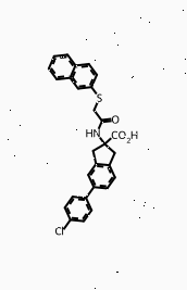 O=C(CSc1ccc2ccccc2c1)NC1(C(=O)O)Cc2ccc(-c3ccc(Cl)cc3)cc2C1